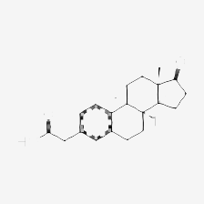 C[C@]12CC[C@@H]3c4ccc(CC(=O)O)cc4CC[C@H]3[C@@H]1CCC2=O